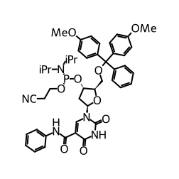 COc1ccc(C(OC[C@H]2O[C@@H](n3cc(C(=O)Nc4ccccc4)c(=O)[nH]c3=O)C[C@@H]2OP(OCCC#N)N(C(C)C)C(C)C)(c2ccccc2)c2ccc(OC)cc2)cc1